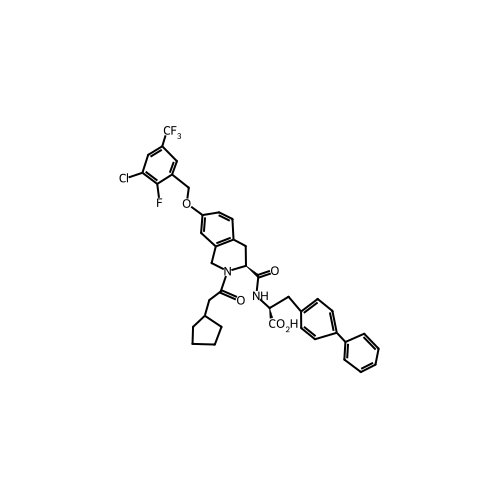 O=C(O)[C@H](Cc1ccc(-c2ccccc2)cc1)NC(=O)[C@@H]1Cc2ccc(OCc3cc(C(F)(F)F)cc(Cl)c3F)cc2CN1C(=O)CC1CCCC1